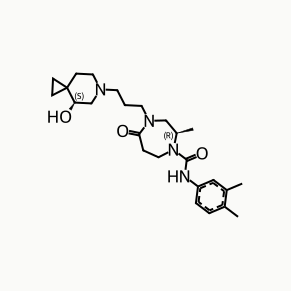 Cc1ccc(NC(=O)N2CCC(=O)N(CCCN3CCC4(CC4)[C@H](O)C3)C[C@H]2C)cc1C